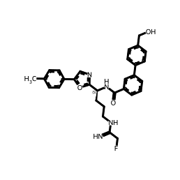 Cc1ccc(-c2cnc([C@H](CCCNC(=N)CF)NC(=O)c3cccc(-c4ccc(CO)cc4)c3)o2)cc1